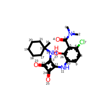 CN(C)C(=O)c1c(Cl)ccc(Nc2c(NC3(C)CCCCC3)c(=O)c2=O)c1O